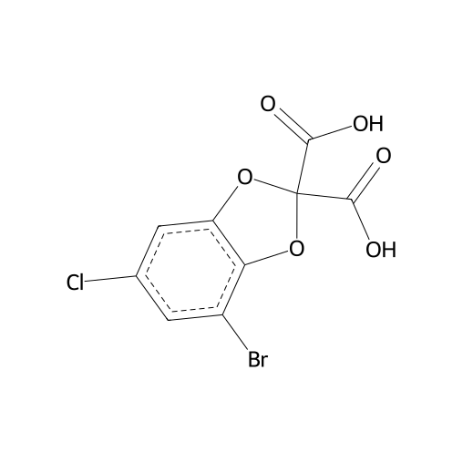 O=C(O)C1(C(=O)O)Oc2cc(Cl)cc(Br)c2O1